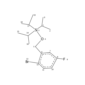 CC(C)[Si](OCc1cc(F)ccc1Br)(C(C)C)C(C)C